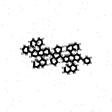 c1ccc(-c2ccc3c(-c4cccc5cccnc45)c4cc(-c5c6ccccc6c(-c6ccc7c(-c8cccc9cccnc89)c8cc(-c9ccccc9)ccc8c(-c8cccc9cccnc89)c7c6)c6ccccc56)ccc4c(-c4cccc5cccnc45)c3c2)cc1